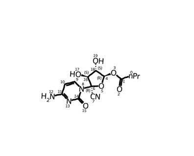 CCCC(=O)O[C@H]1O[C@@](C#N)(n2ccc(N)nc2=O)[C@@H](O)[C@@H]1O